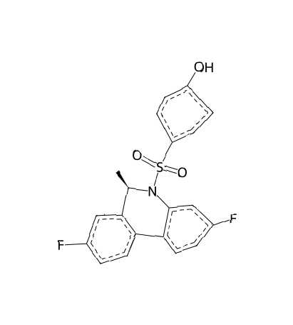 C[C@@H]1c2cc(F)ccc2-c2ccc(F)cc2N1S(=O)(=O)c1ccc(O)cc1